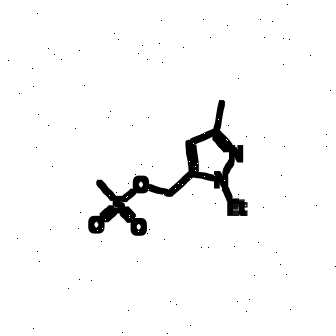 CCn1nc(C)cc1COS(C)(=O)=O